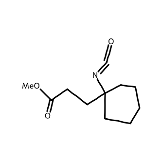 COC(=O)CCC1(N=C=O)CCCCC1